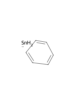 [SnH2].c1ccccc1